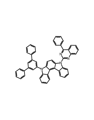 c1ccc(-c2cc(-c3ccccc3)cc(-n3c4ccccc4c4c5c6ccccc6n(-c6nc(-c7ccccc7)c7ccccc7n6)c5ccc43)c2)cc1